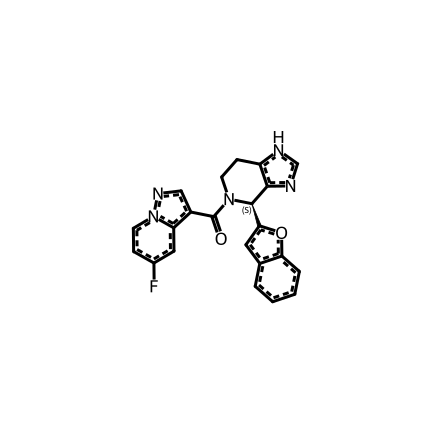 O=C(c1cnn2ccc(F)cc12)N1CCc2[nH]cnc2[C@H]1c1cc2ccccc2o1